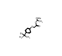 CCC(C)(C)c1ccc(OCC(=O)OC(C)OC)cc1